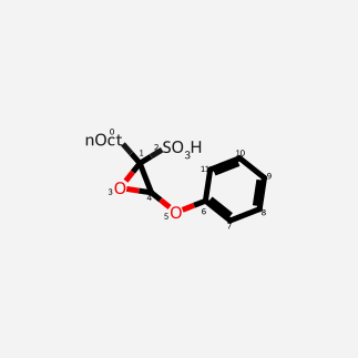 CCCCCCCCC1(S(=O)(=O)O)OC1Oc1ccccc1